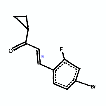 O=C(/C=C/c1ccc(Br)cc1F)C1CC1